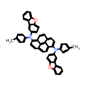 Cc1ccc(N(c2ccc3oc4ccccc4c3c2)c2ccc3ccc4c(N(c5ccc(C)cc5)c5ccc6oc7ccccc7c6c5)ccc5ccc2c3c54)cc1